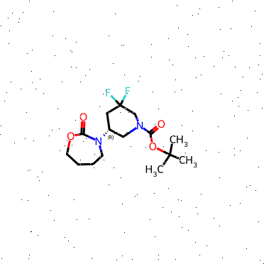 CC(C)(C)OC(=O)N1C[C@H](N2CCCCOC2=O)CC(F)(F)C1